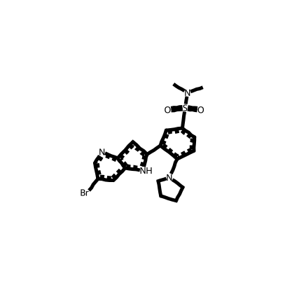 CN(C)S(=O)(=O)c1ccc(N2CCCC2)c(-c2cc3ncc(Br)cc3[nH]2)c1